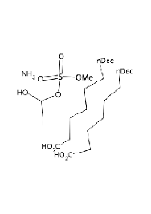 CCCCCCCCCCCCCCCC(=O)O.CCCCCCCCCCCCCCCC(=O)O.COS(=O)(=O)OC(C)O.N